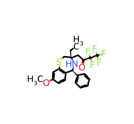 CC[C@]1(CC(=O)C(F)(F)C(F)(F)F)CSc2cc(OC)ccc2[C@H](c2ccccc2)N1